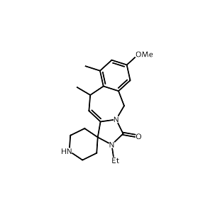 CCN1C(=O)N2Cc3cc(OC)cc(C)c3C(C)C=C2C12CCNCC2